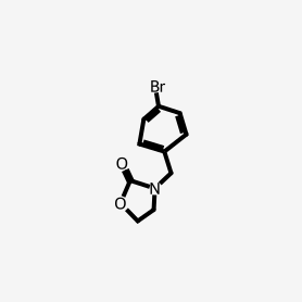 O=C1OCCN1Cc1ccc(Br)cc1